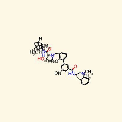 COc1c(CN2CC[C@H](O)[C@H]2C(=O)N[C@H]2C[C@H]3C[C@@H]([C@@H]2C)C3(C)C)cccc1-c1cc(N=O)cc(C(=O)N[C@@H](Cc2ccccc2)CN(C)C)c1